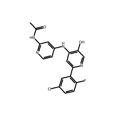 CC(=O)Nc1cc(Nc2cc(-c3cc(Cl)ccc3F)ncc2O)ccn1